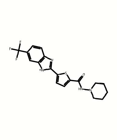 O=C(NN1CCCCC1)c1ccc(-c2nc3ccc(C(F)(F)F)cc3[nH]2)s1